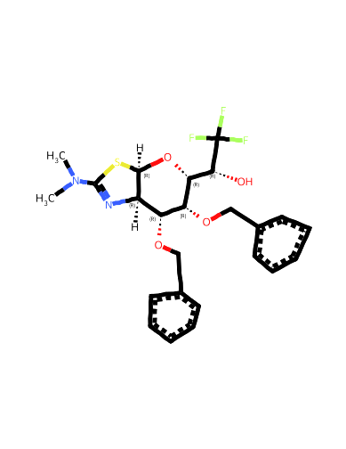 CN(C)C1=N[C@@H]2[C@@H](OCc3ccccc3)[C@@H](OCc3ccccc3)[C@@H]([C@@H](O)C(F)(F)F)O[C@@H]2S1